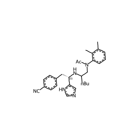 CCCCC(CN(C(C)=O)c1cccc(C)c1C)N[C@@H](Cc1ccc(C#N)cc1)c1cnc[nH]1